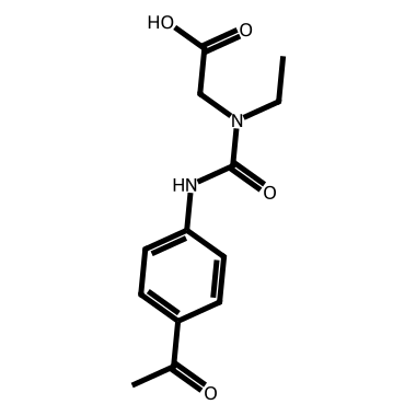 CCN(CC(=O)O)C(=O)Nc1ccc(C(C)=O)cc1